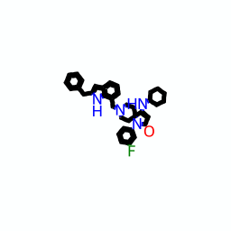 O=C1C=C(NC2CCCCC2)C2(CCN(Cc3cccc4cc(Cc5ccccc5)[nH]c34)CC2)N1c1cccc(F)c1